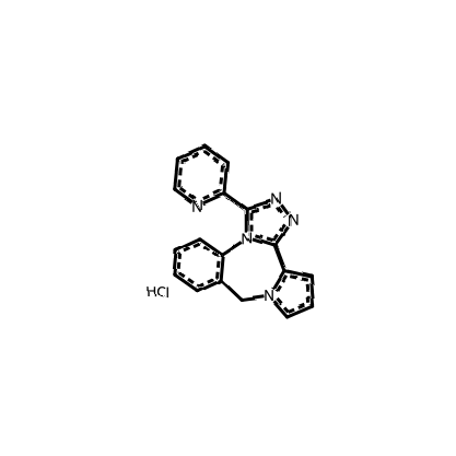 Cl.c1ccc(-c2nnc3n2-c2ccccc2Cn2cccc2-3)nc1